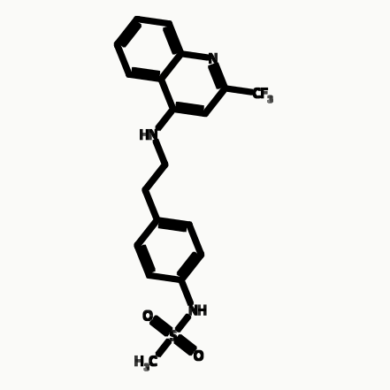 CS(=O)(=O)Nc1ccc(CCNc2cc(C(F)(F)F)nc3ccccc23)cc1